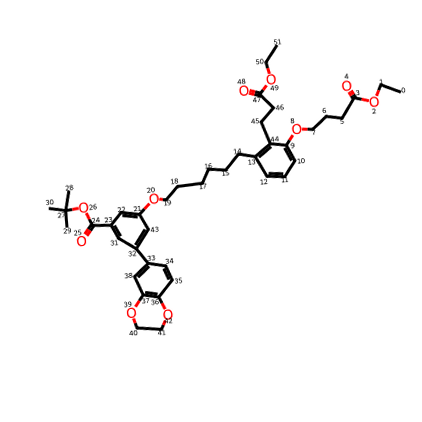 CCOC(=O)CCCOc1cccc(CCCCCCOc2cc(C(=O)OC(C)(C)C)cc(-c3ccc4c(c3)OCCO4)c2)c1CCC(=O)OCC